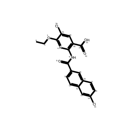 CCOc1nc(NC(=O)c2ccc3cc(Cl)ccc3c2)c(C(=O)O)cc1Cl